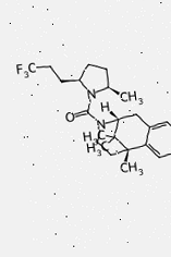 C[C@@H]1CC[C@H](CCC(F)(F)F)N1C(=O)N1CC[C@@]2(C)c3ccccc3C[C@@H]1C2(C)C